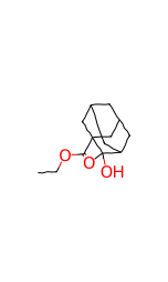 CCOC(=O)C12CC3CC(CC(C3)C1(C)O)C2